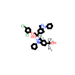 CC(O)(c1ccc2c(cnn2-c2ccccc2)c1)C(F)(F)F.OC(COc1ccc(Cl)cc1Cl)(c1ccc2c(cnn2-c2ccccc2)c1)C(F)(F)F